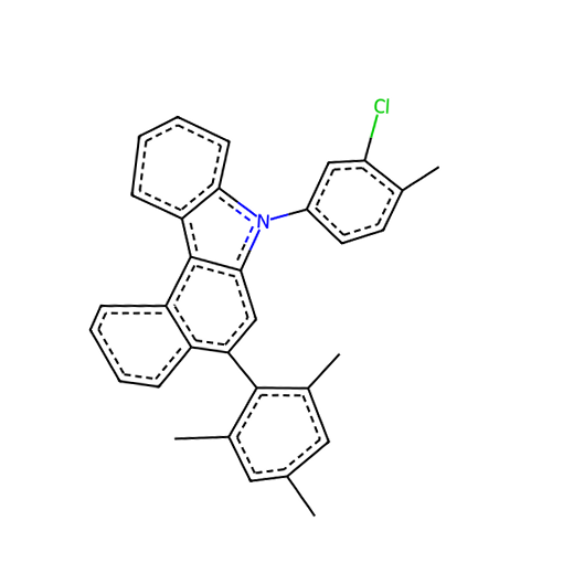 Cc1cc(C)c(-c2cc3c(c4ccccc24)c2ccccc2n3-c2ccc(C)c(Cl)c2)c(C)c1